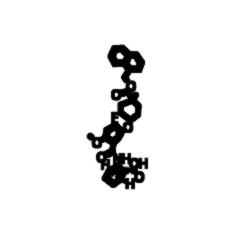 COc1cc(F)c(OC2CCC(C)(C(=O)OCc3cccc4ccccc34)CC2)cc1C(=O)N[C@H]1[C@@H](C(=O)O)[C@@H]2C=C[C@H]1C2